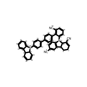 N#CC1=CCCC2c3cc(C#N)ccc3N(c3cccc(C#N)c3-c3ccc(-c4ccc(N5c6ccccc6C6C=CC=CC65)cc4)cc3)C12